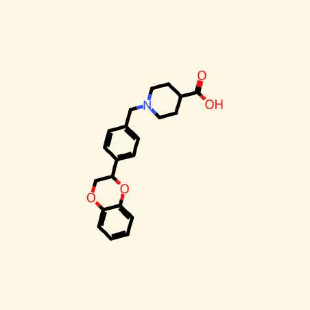 O=C(O)C1CCN(Cc2ccc(C3COc4ccccc4O3)cc2)CC1